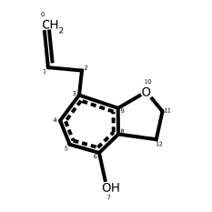 C=CCc1ccc(O)c2c1OCC2